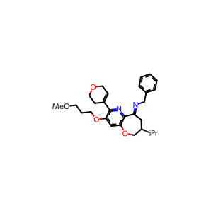 COCCCOc1cc2c(nc1C1=CCOCC1)C(=NCc1ccccc1)CC(C(C)C)CO2